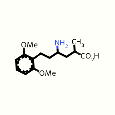 COc1cccc(OC)c1CCC(N)CC(C)C(=O)O